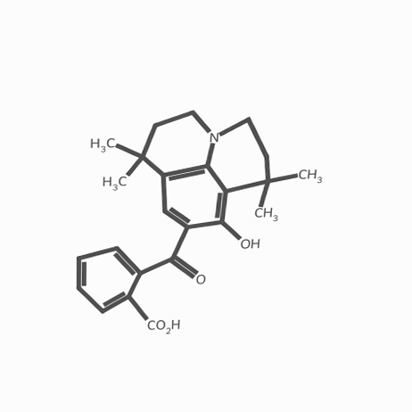 CC1(C)CCN2CCC(C)(C)c3c(O)c(C(=O)c4ccccc4C(=O)O)cc1c32